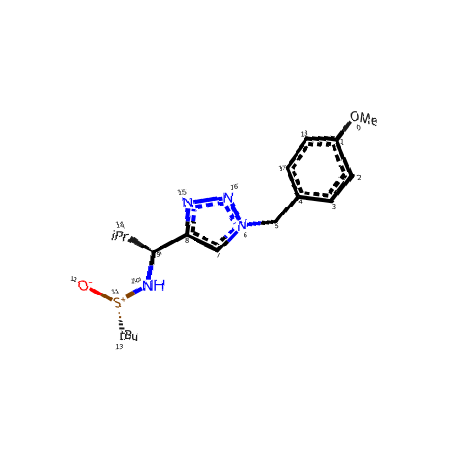 COc1ccc(Cn2cc([C@@H](N[S@@+]([O-])C(C)(C)C)C(C)C)nn2)cc1